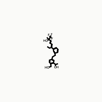 CC/C(=C\C=C\C(C)(O)C(F)(F)F)c1cccc(CCc2ccc(CO)c(C(C)O)c2)c1